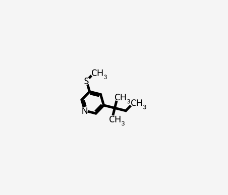 CCC(C)(C)c1cncc(SC)c1